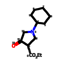 CCOC(=O)C1CN(C2CCCCC2)CC1=O